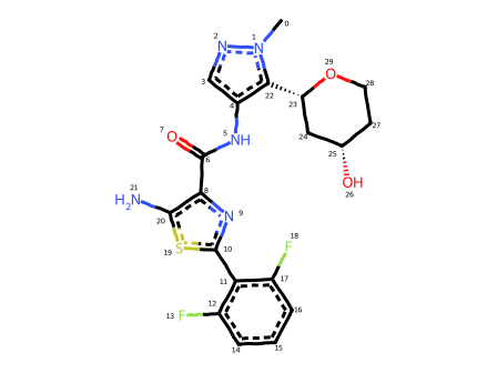 Cn1ncc(NC(=O)c2nc(-c3c(F)cccc3F)sc2N)c1[C@H]1C[C@@H](O)CCO1